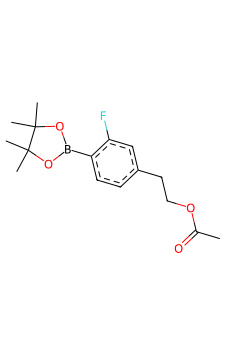 CC(=O)OCCc1ccc(B2OC(C)(C)C(C)(C)O2)c(F)c1